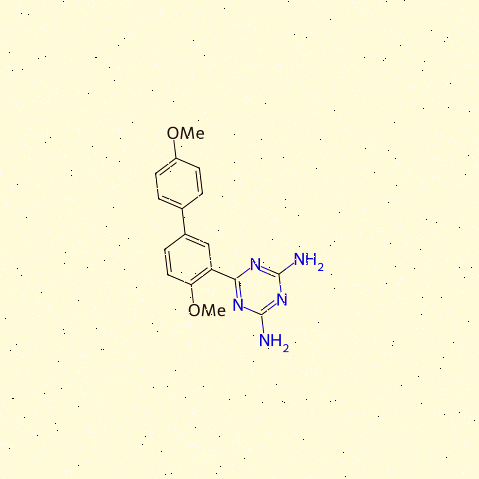 COc1ccc(-c2ccc(OC)c(-c3nc(N)nc(N)n3)c2)cc1